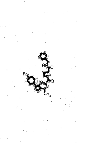 CC(=NNC(=O)c1ccc(C(=O)NCc2cccnc2)s1)c1csc(-c2ccc(Br)cc2)c1O